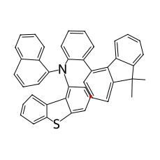 CC1(C)c2ccccc2-c2c(-c3ccccc3N(c3cccc4ccccc34)c3cccc4sc5ccccc5c34)cccc21